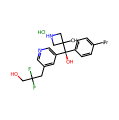 CC(C)c1ccc([C@](O)(c2cncc(CC(F)(F)CO)c2)C2(C)CNC2)cc1.Cl